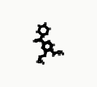 C=CCc1cc(C(=O)N2CCOCC2)ccc1OC